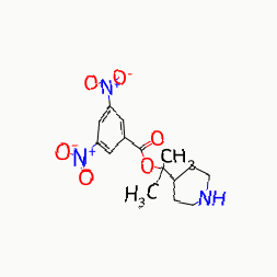 CC(C)(OC(=O)c1cc([N+](=O)[O-])cc([N+](=O)[O-])c1)C1CCNCC1